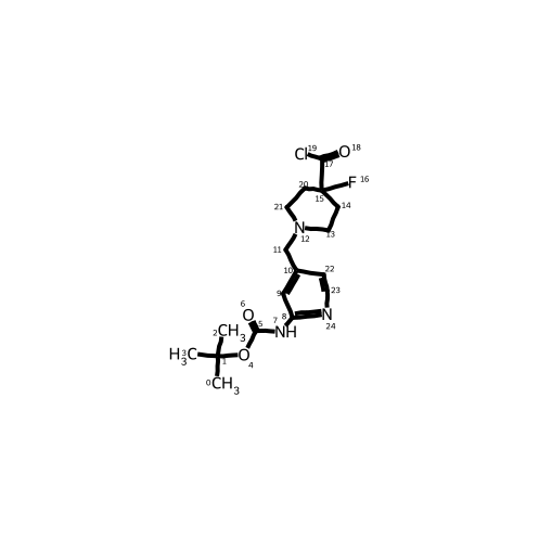 CC(C)(C)OC(=O)Nc1cc(CN2CCC(F)(C(=O)Cl)CC2)ccn1